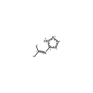 CC(C)=Nc1ccn[nH]1